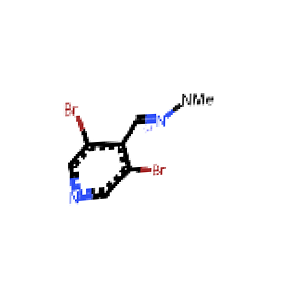 CN/N=C/c1c(Br)cncc1Br